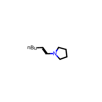 [CH2]CCCC=CN1CCCC1